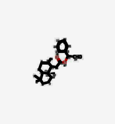 CC1=CCC2C(C)(C)CCC[C@]2(C)C1CC(=O)OC(C=O)c1ccccc1